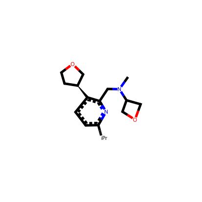 CC(C)c1ccc([C@H]2CCOC2)c(CN(C)C2COC2)n1